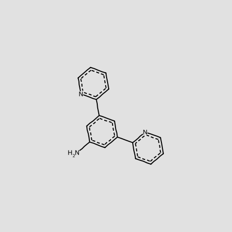 Nc1cc(-c2ccccn2)cc(-c2ccccn2)c1